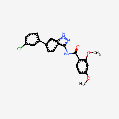 COc1ccc(C(=O)Nc2n[nH]c3cc(-c4cccc(Cl)c4)ccc23)c(OC)c1